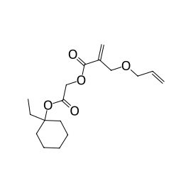 C=CCOCC(=C)C(=O)OCC(=O)OC1(CC)CCCCC1